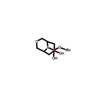 CC(C)(C)OC(O)N1C2COCC1CC(O)C2